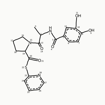 CC(NC(=O)c1ccc(O)c(O)c1)C(=O)N1CCCC1C(=O)Sc1ccccn1